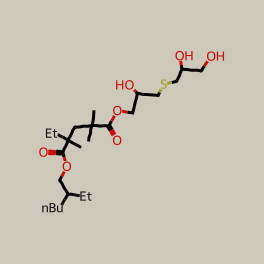 CCCCC(CC)COC(=O)C(C)(CC)CC(C)(C)C(=O)OCC(O)CSCC(O)CO